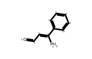 O=C/C=C(\P)c1ccccc1